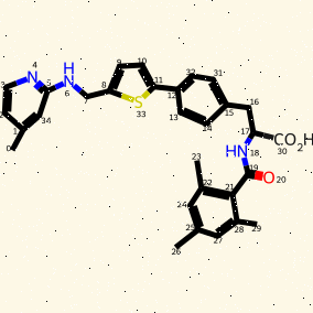 Cc1ccnc(NCc2ccc(-c3ccc(CC(NC(=O)c4c(C)cc(C)cc4C)C(=O)O)cc3)s2)c1